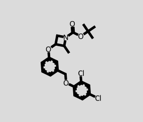 CC1C(Oc2cccc(COc3ccc(Cl)cc3Cl)c2)CN1C(=O)OC(C)(C)C